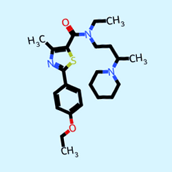 CCOc1ccc(-c2nc(C)c(C(=O)N(CC)CCC(C)N3CCCCC3)s2)cc1